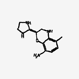 Cc1ccc(N)c2c1NCC(=C1NCCN1)O2